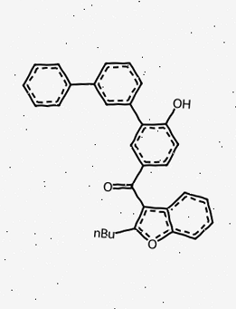 CCCCc1oc2ccccc2c1C(=O)c1ccc(O)c(-c2cccc(-c3ccccc3)c2)c1